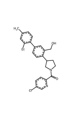 CCc1cc(C)ccc1-c1ccc(C2CCN(C(=O)c3ccc(Cl)cn3)C2)c(CO)c1